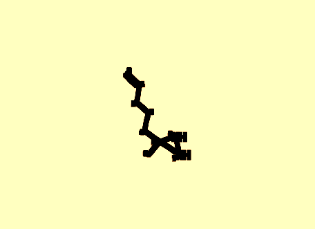 C=CCCCC1(C)NN1